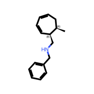 C[C@@H]1CC=CC=C[C@@H]1CNCc1ccccc1